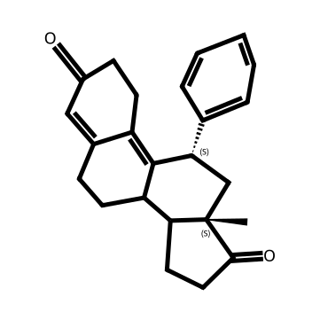 C[C@]12C[C@@H](c3ccccc3)C3=C4CCC(=O)C=C4CCC3C1CCC2=O